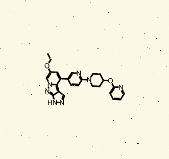 CCOc1cc(-c2ccc(N3CCC(Oc4ccccn4)CC3)nc2)c2c3cn[nH]c3nn2c1